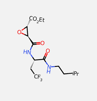 CCOC(=O)[C@H]1O[C@@H]1C(=O)N[C@@H](CC(F)(F)F)C(=O)NCCC(C)C